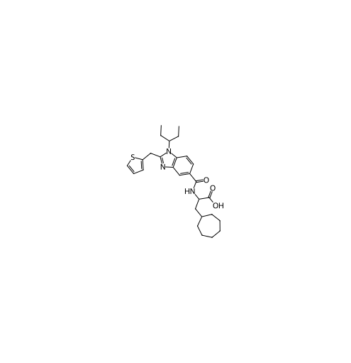 CCC(CC)n1c(Cc2cccs2)nc2cc(C(=O)NC(CC3CCCCCC3)C(=O)O)ccc21